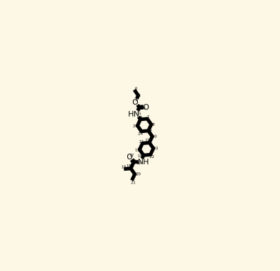 CCOC(=O)NC1CCC(CC2CCC(NC(=O)C(C)CC)CC2)CC1